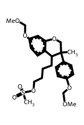 COCOc1ccc(C2(C)COc3cc(OCOC)ccc3C2CCCCOS(C)(=O)=O)cc1